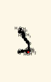 COc1cc(N2CCC(N3CCN(C(=O)CCCCC(=O)N[C@H](C(=O)N4C[C@H](O)C[C@H]4C(=O)NCc4ccc(-c5scnc5C)cc4)C(C)(C)C)CC3)CC2)ccc1Nc1ncc(Cl)c(Nc2ccccc2S(=O)(=O)C(C)C)n1